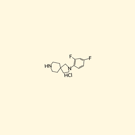 Cl.Fc1ccc(N2CCC3(CCNCC3)C2)c(F)c1